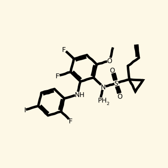 C=CCC1(S(=O)(=O)N(P)c2c(OC)cc(F)c(F)c2Nc2ccc(I)cc2F)CC1